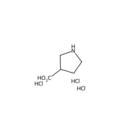 Cl.Cl.Cl.O=C(O)C1CCNC1